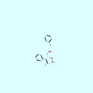 O=C(Cn1c(-c2ccccc2)c(Cl)nc(Cl)c1=O)OCc1ccccc1